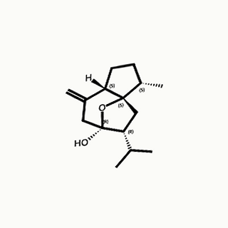 C=C1C[C@@]2(O)O[C@@]3(C[C@@H]2C(C)C)[C@@H](C)CC[C@@H]13